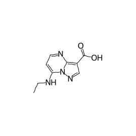 CCNc1ccnc2c(C(=O)O)cnn12